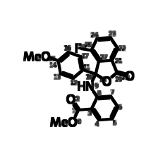 COC(=O)c1ccccc1NC1(c2ccc(OC)cc2)OC(=O)c2cccc(F)c21